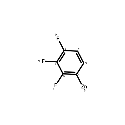 Fc1cc[c]([Zn])c(F)c1F